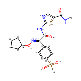 CNC(=O)c1cnc(NC(=O)/C(=N/OC2CCCC2)c2ccc(S(C)(=O)=O)cc2)s1